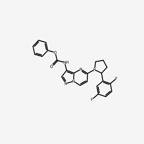 O=C(Nc1cnn2ccc(N3CCCC3c3cc(F)ccc3F)nc12)Oc1ccccc1